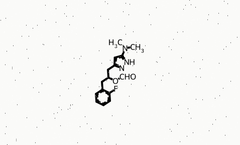 CN(C)c1cc(CC(Cc2ccccc2F)OC=O)n[nH]1